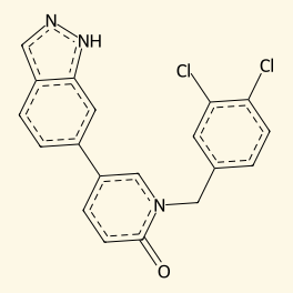 O=c1ccc(-c2ccc3cn[nH]c3c2)cn1Cc1ccc(Cl)c(Cl)c1